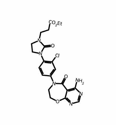 CCOC(=O)CCN1CCN(c2ccc(N3CCOc4ncnc(N)c4C3=O)cc2Cl)C1=O